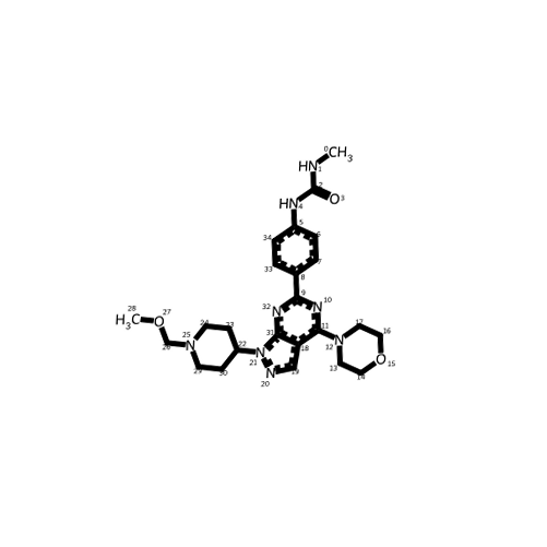 CNC(=O)Nc1ccc(-c2nc(N3CCOCC3)c3cnn(C4CCN(COC)CC4)c3n2)cc1